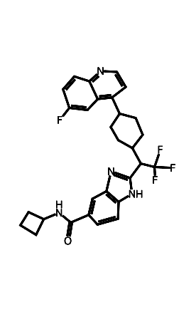 O=C(NC1CCC1)c1ccc2[nH]c(C(C3CCC(c4ccnc5ccc(F)cc45)CC3)C(F)(F)F)nc2c1